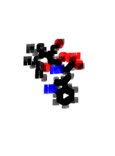 COC(C(=O)N[C@@H](Cc1c[nH]c2ccccc12)C(=O)O)C(=C=O)C(C)C